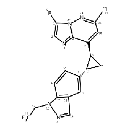 Fc1cnc2c([C@H]3C[C@@H]3c3ccc4c(cnn4CC(F)(F)F)c3)cc(Cl)nn12